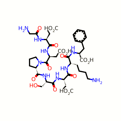 NCCCC[C@H](NC(=O)[C@H](CC(=O)O)NC(=O)[C@H](CO)NC(=O)[C@@H]1CCCN1C(=O)[C@H](CC(=O)O)NC(=O)[C@H](CC(=O)O)NC(=O)CN)C(=O)N[C@@H](Cc1ccccc1)C(=O)O